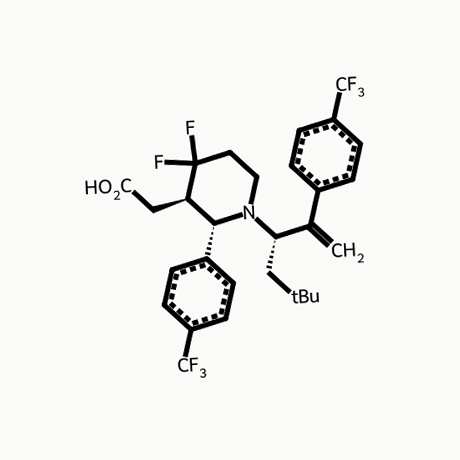 C=C(c1ccc(C(F)(F)F)cc1)[C@H](CC(C)(C)C)N1CCC(F)(F)[C@H](CC(=O)O)[C@H]1c1ccc(C(F)(F)F)cc1